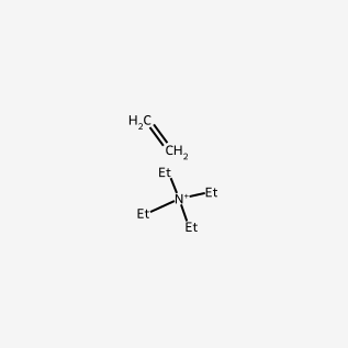 C=C.CC[N+](CC)(CC)CC